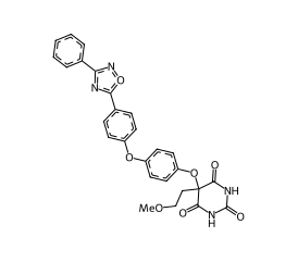 COCCC1(Oc2ccc(Oc3ccc(-c4nc(-c5ccccc5)no4)cc3)cc2)C(=O)NC(=O)NC1=O